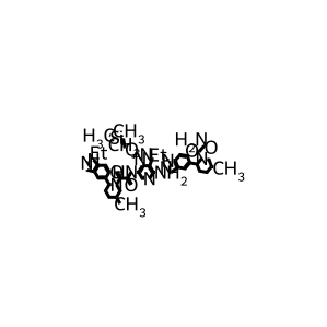 CCn1ncc2cc(C3CCC(C)CN3C(=O)C(=O)Nc3cnc(N)c4cnn(COCC[Si](C)(C)C)c34)ccc21.CCn1ncc2cc(C3CCC(C)CN3C(=O)C(N)=O)ccc21